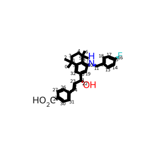 CC1(C)CCC(C)(C)c2c(NCc3ccc(F)cc3)cc(C(O)C=Cc3ccc(C(=O)O)cc3)cc21